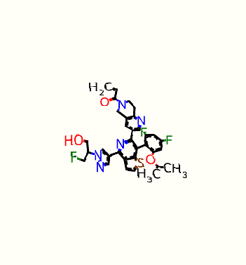 C=CC(=O)N1CCc2ncc(-c3nc(-c4cnn(C(CO)CF)c4)c4ccsc4c3-c3c(F)cc(F)cc3OC(C)C)cc2C1